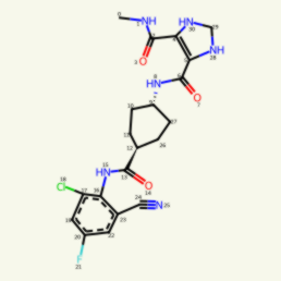 CNC(=O)C1=C(C(=O)N[C@H]2CC[C@H](C(=O)Nc3c(Cl)cc(F)cc3C#N)CC2)NCN1